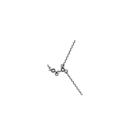 CCCCCCCCCCCCCCCCCCOc1cc(/C=C/C(=O)c2ccc(SCCC)cc2)cc(OCCCCCCCCCCCCCCCCCC)c1